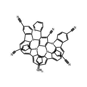 Cc1ccc2c(c1)c1ccccc1n2-c1c(-n2c3ccc(C#N)cc3c3cc(C#N)ccc32)c(C#N)c(-c2ccccn2)c(-n2c3ccc(C#N)cc3c3cc(C#N)ccc32)c1-n1c2ccccc2c2cc(C)ccc21